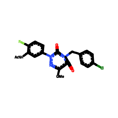 COc1nn(-c2ccc(F)c(NC(C)=O)c2)c(=O)n(Cc2ccc(Cl)cc2)c1=O